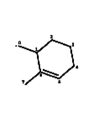 [CH2]C1CCCC=C1C